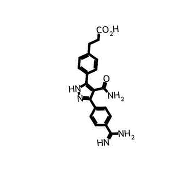 N=C(N)c1ccc(-c2n[nH]c(-c3ccc(CCC(=O)O)cc3)c2C(N)=O)cc1